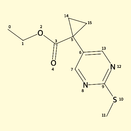 CCOC(=O)C1(c2cnc(SC)nc2)CC1